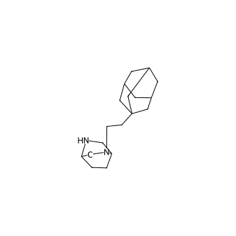 C1C2CC3CC1CC(CCN1CC4CCC1CN4)(C2)C3